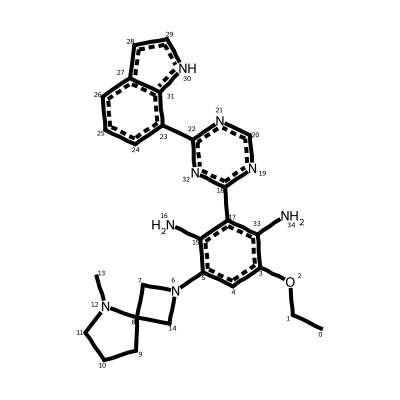 CCOc1cc(N2CC3(CCCN3C)C2)c(N)c(-c2ncnc(-c3cccc4cc[nH]c34)n2)c1N